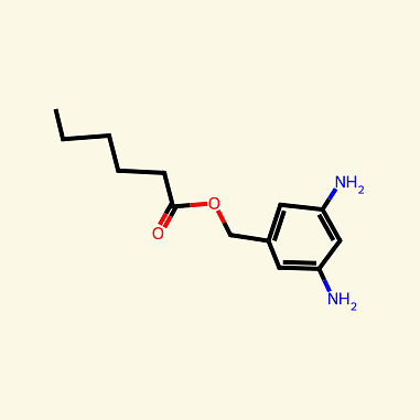 CCCCCC(=O)OCc1cc(N)cc(N)c1